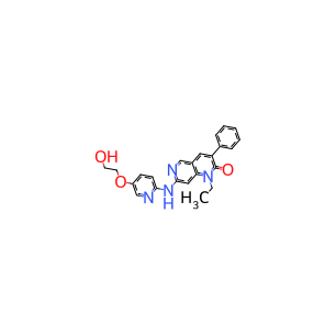 CCn1c(=O)c(-c2ccccc2)cc2cnc(Nc3ccc(OCCO)cn3)cc21